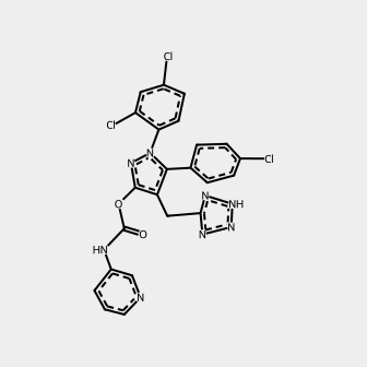 O=C(Nc1cccnc1)Oc1nn(-c2ccc(Cl)cc2Cl)c(-c2ccc(Cl)cc2)c1Cc1nn[nH]n1